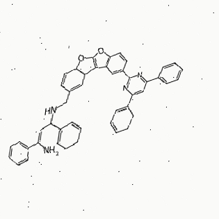 N/C(=C\C(NCC1=CC2c3c(oc4ccc(-c5nc(C6=CC=CCC6)cc(-c6ccccc6)n5)cc34)OC2C=C1)C1=CCCC=C1)c1ccccc1